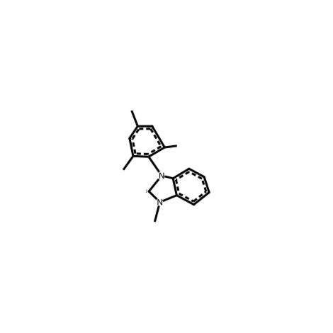 Cc1cc(C)c(N2[C]N(C)c3ccccc32)c(C)c1